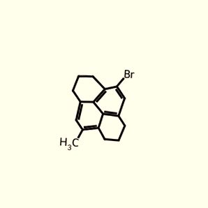 Cc1cc2c3c(c(Br)cc4c3c1CCC4)CCC2